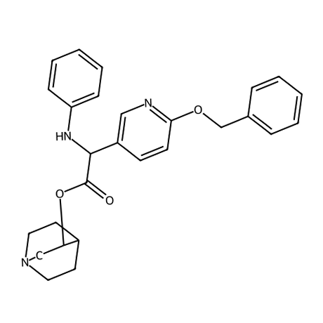 O=C(OC1CN2CCC1CC2)C(Nc1ccccc1)c1ccc(OCc2ccccc2)nc1